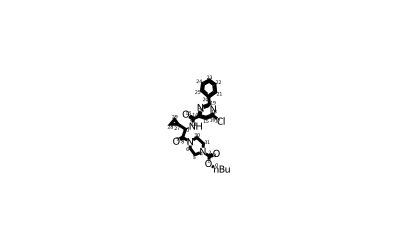 CCCCOC(=O)N1CCN(C(=O)[C@@H](NC(=O)c2cc(Cl)nc(-c3ccccc3)n2)C2CC2)CC1